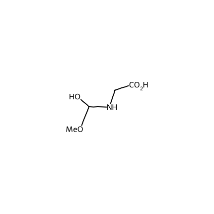 COC(O)NCC(=O)O